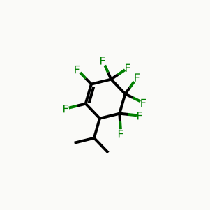 CC(C)C1C(F)=C(F)C(F)(F)C(F)(F)C1(F)F